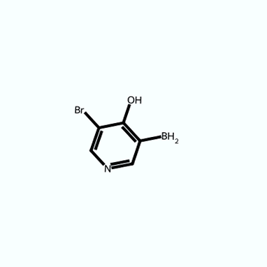 Bc1cncc(Br)c1O